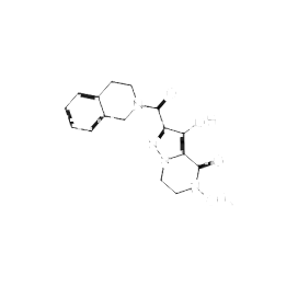 CN1CCn2nc(C(=O)N3CCc4ccccc4C3)c(O)c2C1=O